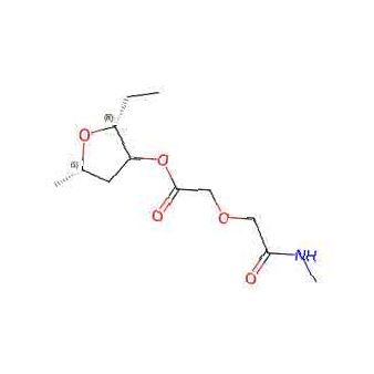 CC[C@H]1O[C@@H](C)CC1OC(=O)COCC(=O)NC